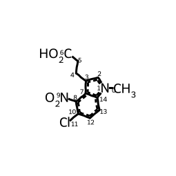 Cn1cc(CCC(=O)O)c2c([N+](=O)[O-])c(Cl)ccc21